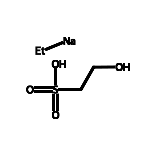 C[CH2][Na].O=S(=O)(O)CCO